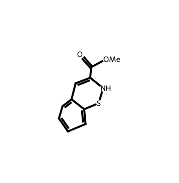 COC(=O)C1=Cc2ccccc2SN1